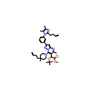 C=CCCc1nc(C)c(C)n1-c1cccc(-c2cc3nc(C)c([C@H](OC(C)(C)C)C(=O)OC)c(N4CCC(C)(CCC=C)CC4)n3n2)c1